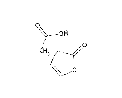 CC(=O)O.O=C1CC=CO1